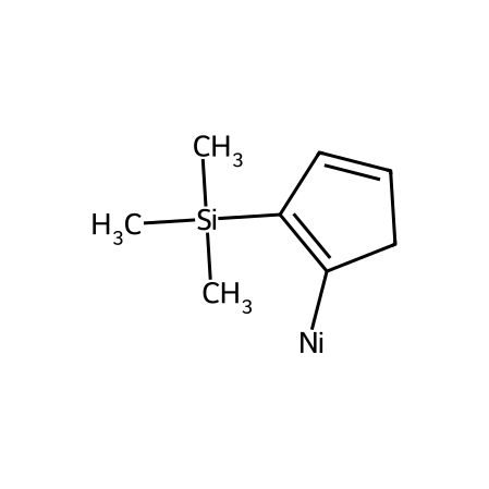 C[Si](C)(C)C1=[C]([Ni])CC=C1